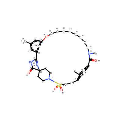 Cc1cc2ccc1CCS(=O)(=O)N1CCC3(CC1)N=C(NC3=O)c1cc(cc(C(F)(F)F)c1)OCCCCCCCCN(C)C2=O